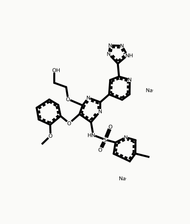 COc1ccccc1Oc1c(NS(=O)(=O)c2ccc(C)cn2)nc(-c2ccnc(-c3nnn[nH]3)c2)nc1OCCO.[Na].[Na]